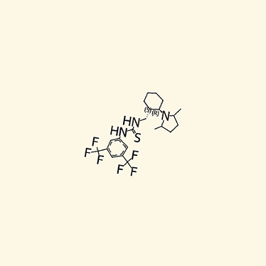 CC1CCC(C)N1[C@@H]1CCCC[C@H]1CNC(=S)Nc1cc(C(F)(F)F)cc(C(F)(F)F)c1